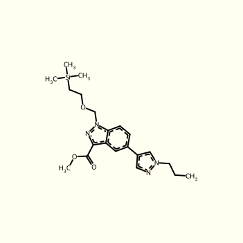 CCCn1cc(-c2ccc3c(c2)c(C(=O)OC)nn3COCC[Si](C)(C)C)cn1